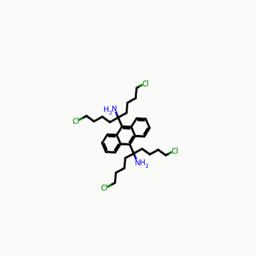 NC(CCCCCl)(CCCCCl)c1c2ccccc2c(C(N)(CCCCCl)CCCCCl)c2ccccc12